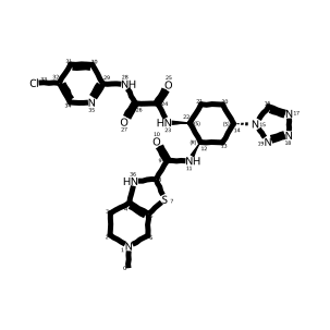 CN1CCC2=C(C1)SC(C(=O)N[C@@H]1C[C@@H](n3cnnn3)CC[C@@H]1NC(=O)C(=O)Nc1ccc(Cl)cn1)N2